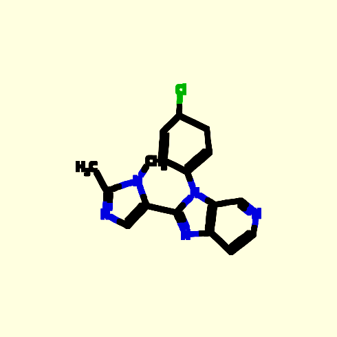 Cc1ncc(-c2nc3ccncc3n2C2=CCC(Cl)C=C2)n1C